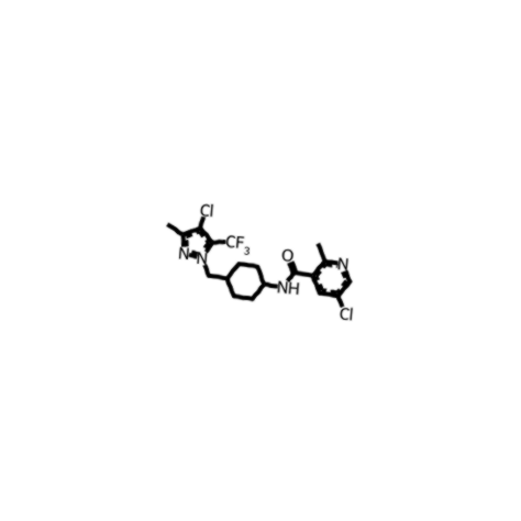 Cc1ncc(Cl)cc1C(=O)NC1CCC(Cn2nc(C)c(Cl)c2C(F)(F)F)CC1